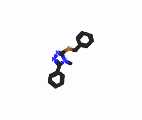 Cn1c(SCc2ccccc2)nnc1-c1ccccc1